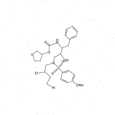 CCC(CCC(C)=O)CN(CC(O)C(Cc1ccccc1)NC(=O)OC1CCOC1)S(=O)(=O)c1ccc(OC)cc1